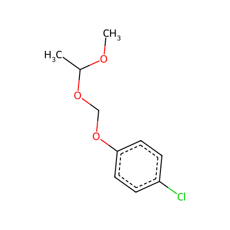 COC(C)OCOc1ccc(Cl)cc1